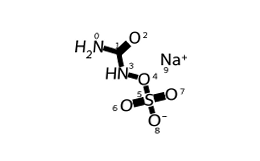 NC(=O)NOS(=O)(=O)[O-].[Na+]